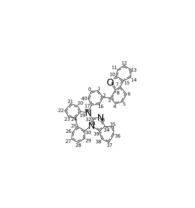 c1cc(-c2cccc3c2oc2ccccc23)cc(N2c3ccccc3-c3ccccc3-n3c2nc2ccccc23)c1